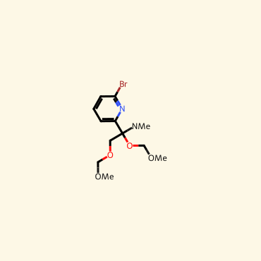 CNC(COCOC)(OCOC)c1cccc(Br)n1